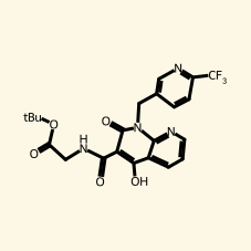 CC(C)(C)OC(=O)CNC(=O)c1c(O)c2cccnc2n(Cc2ccc(C(F)(F)F)nc2)c1=O